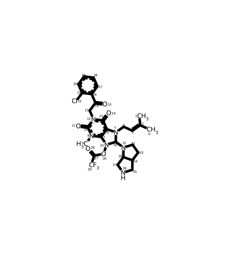 CC(C)=CCN1c2c(n(C)c(=O)n(CC(=O)c3ccccc3Cl)c2=O)N(OC(=O)C(F)(F)F)C1N1CCC2CNCC21